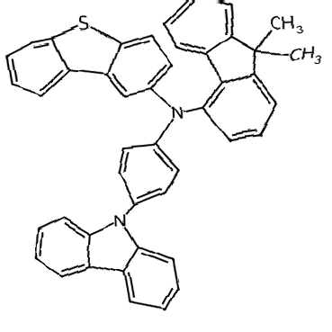 CC1(C)c2ccccc2-c2c(N(c3ccc(-n4c5ccccc5c5ccccc54)cc3)c3ccc4sc5ccccc5c4c3)cccc21